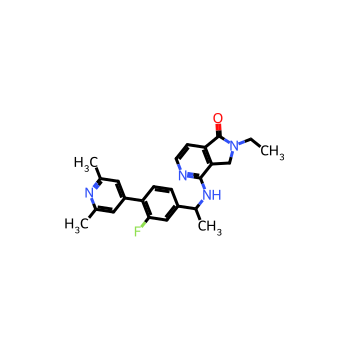 CCN1Cc2c(ccnc2NC(C)c2ccc(-c3cc(C)nc(C)c3)c(F)c2)C1=O